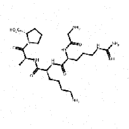 C[C@H](NC(=O)[C@H](CCCCN)NC(=O)[C@H](CCCNC(=N)N)NC(=O)CN)C(=O)N1CCC[C@H]1C(=O)O